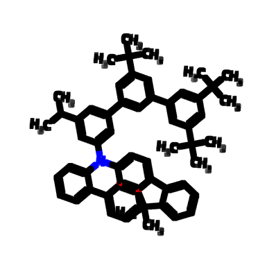 CC(C)c1cc(-c2cc(-c3cc(C(C)(C)C)cc(C(C)(C)C)c3)cc(C(C)(C)C)c2)cc(N(c2ccc3c(c2)C(C)(C)c2ccccc2-3)c2ccccc2-c2ccccc2)c1